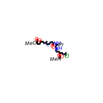 CNC(=O)OC(C/C=C\NC(=O)C(NC(=O)\C=C/C=C\C(C)=C\CC1CC=C(OC)C(=O)O1)C(C)C)C/C=C(\C)Cl